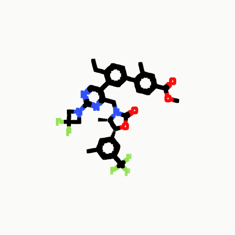 CCc1ccc(-c2ccc(C(=O)OC)cc2C)cc1-c1cnc(N2CC(F)(F)C2)nc1CN1C(=O)O[C@H](c2cc(C)cc(C(F)(F)F)c2)[C@@H]1C